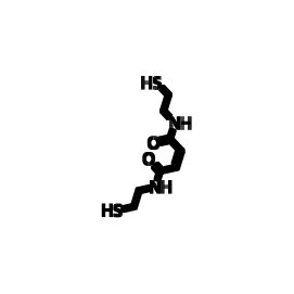 O=C(/C=C\C(=O)NCCS)NCCS